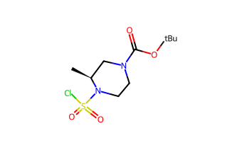 C[C@H]1CN(C(=O)OC(C)(C)C)CCN1S(=O)(=O)Cl